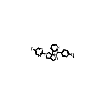 COc1ccc(CN2OCC3CN(c4ncc(F)cn4)CC32c2cccnc2)cc1